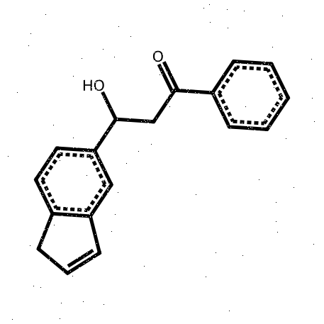 O=C(CC(O)c1ccc2c(c1)C=CC2)c1ccccc1